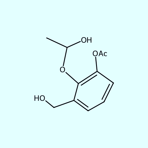 CC(=O)Oc1cccc(CO)c1OC(C)O